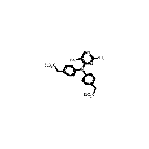 CCOC(=O)Cc1ccc(N(c2ccc(CC(=O)OCC)cc2)c2nc(N)ncc2C(F)(F)F)cc1